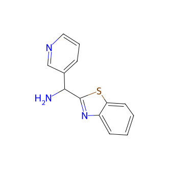 NC(c1cccnc1)c1nc2ccccc2s1